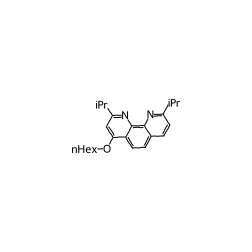 CCCCCCOc1cc(C(C)C)nc2c1ccc1ccc(C(C)C)nc12